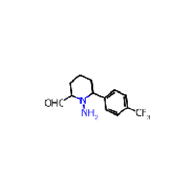 NN1C(C=O)CCCC1c1ccc(C(F)(F)F)cc1